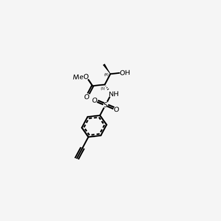 C#Cc1ccc(S(=O)(=O)N[C@H](C(=O)OC)[C@@H](C)O)cc1